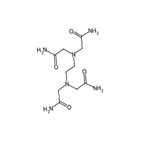 NC(=O)CN(CCN(CC(N)=O)CC(N)=O)CC(N)=O